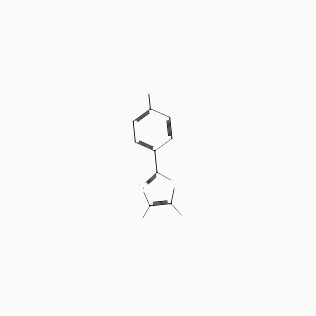 CCc1sc(-c2ccc(Cl)cc2)nc1C